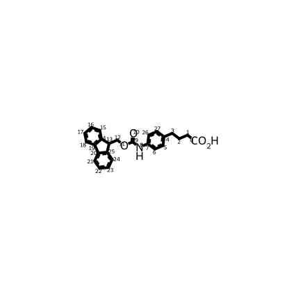 O=C(O)CCCc1ccc(NC(=O)OCC2c3ccccc3-c3ccccc32)cc1